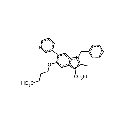 CCOC(=O)c1c(C)n(Cc2ccccc2)c2cc(-c3cccnc3)c(OCCCC(=O)O)cc12